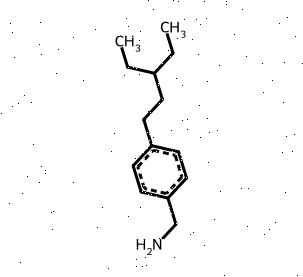 CCC(CC)CCc1ccc(CN)cc1